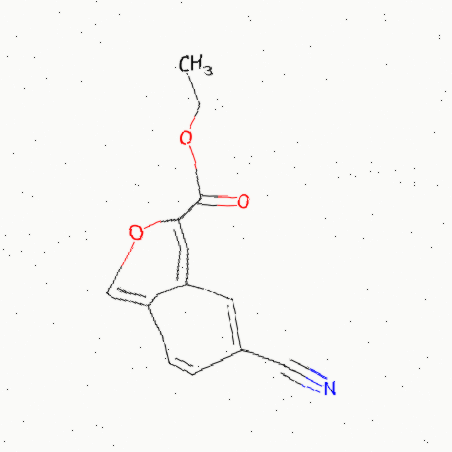 CCOC(=O)c1occ2ccc(C#N)cc12